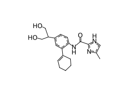 Cc1c[nH]c(C(=O)Nc2ccc(C(CO)CO)cc2C2=CCCCC2)n1